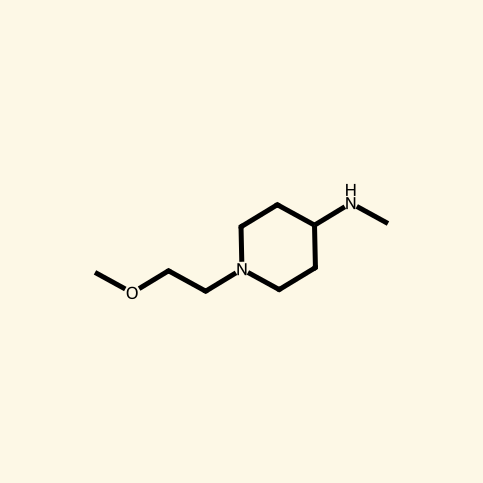 CNC1CCN(CCOC)CC1